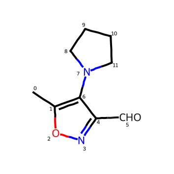 Cc1onc(C=O)c1N1CCCC1